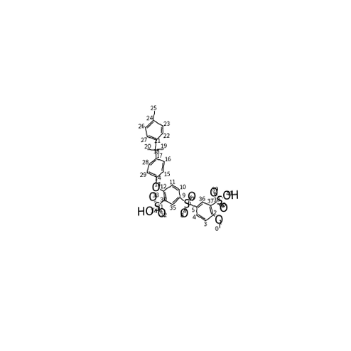 COc1ccc(S(=O)(=O)c2ccc(Oc3ccc(C(C)(C)c4ccc(C)cc4)cc3)c(S(=O)(=O)O)c2)cc1S(=O)(=O)O